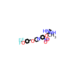 CC1(COc2ccc(N3CCC(OCc4ccc(OC(F)(F)F)cc4)CC3)cc2[N+](=O)[O-])NC=CN1